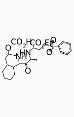 CCOC(=O)C(CCS(=O)(=O)c1ccccc1)N[C@@H](C)C(=O)C1NC(OC(=O)O)CC2CCCCC21